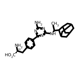 CC(Nc1nc(N)nc(-c2ccc(C[C@H](N)C(=O)O)cc2)n1)C1C2CC3CC(C2)CC1C3